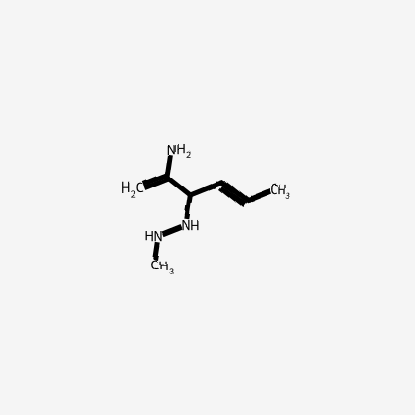 C=C(N)C(/C=C/C)NNC